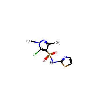 Cc1nn(C)c(Cl)c1S(=O)(=O)Nc1nccs1